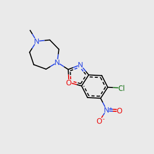 CN1CCCN(c2nc3cc(Cl)c([N+](=O)[O-])cc3o2)CC1